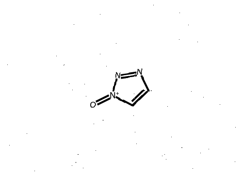 O=[N+]1C=[C]N=N1